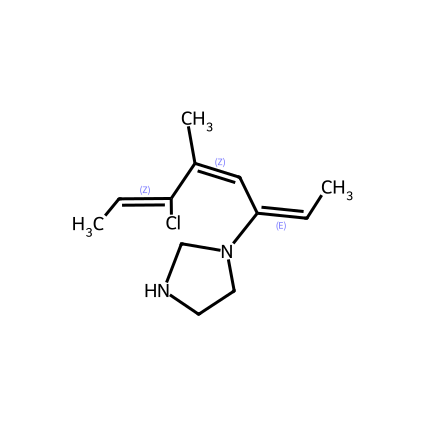 C/C=C(Cl)/C(C)=C\C(=C/C)N1CCNC1